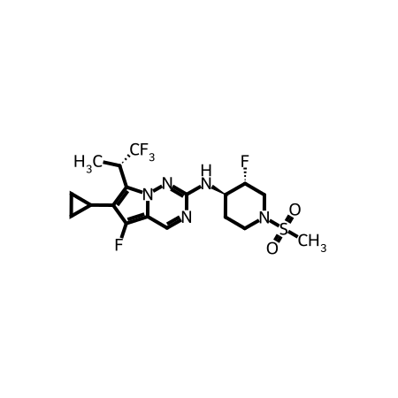 C[C@@H](c1c(C2CC2)c(F)c2cnc(N[C@@H]3CCN(S(C)(=O)=O)C[C@H]3F)nn12)C(F)(F)F